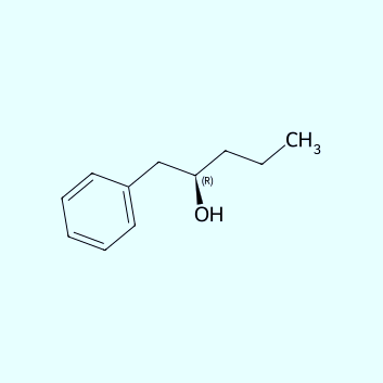 CCC[C@@H](O)Cc1ccccc1